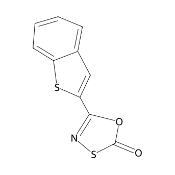 O=c1oc(-c2cc3ccccc3s2)ns1